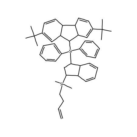 C=CCC[Si](C)(C)C1CC([Si](c2ccccc2)(c2ccccc2)C2C3C=C(C(C)(C)C)C=CC3C3C=CC(C(C)(C)C)=CC32)C2C=CC=CC21